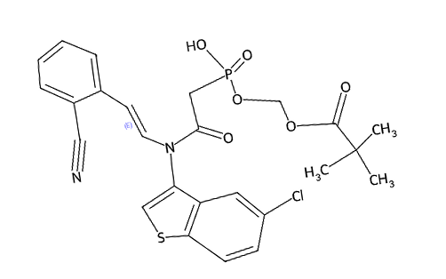 CC(C)(C)C(=O)OCOP(=O)(O)CC(=O)N(/C=C/c1ccccc1C#N)c1csc2ccc(Cl)cc12